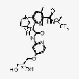 Cc1cc2c(nc1C(=O)N[C@H](C)C(F)(F)F)N(C(=O)Nc1cc(OC[C@H](O)CO)ccn1)[C@H]1CCN2C1